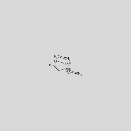 C=C.C=C.C=COC(C)=O.CC(=O)O